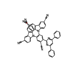 N#Cc1ccc2c(c1)c1cc(C#N)ccc1n2-c1cc(C#N)c(-c2nc(-c3ccccc3)cc(-c3ccccc3)n2)cc1-n1c2ccc(C#N)cc2c2cc(C#N)ccc21